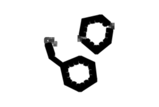 C=Cc1ccccc1.c1cnccn1